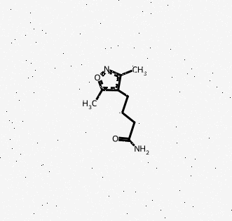 Cc1noc(C)c1C[CH]CC(N)=O